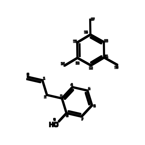 C=CCc1ccccc1O.Cc1cc(C)cc(C)c1